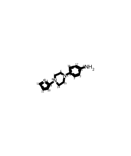 Nc1ccc(N2CCN(c3cccs3)CC2)cc1